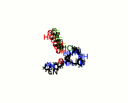 N#Cc1cccnc1N1CCC(CC(=O)Nc2ccc3cc2CCc2cncc(c2)Nc2ncc(Cl)c(n2)N3)CC1.O=C(O)C(F)(F)F.O=C(O)C(F)(F)F.O=C(O)C(F)(F)F